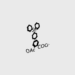 C1CC[CH]([Sn+]([CH]2CCCCC2)[CH]2CCCCC2)CC1.CC(=O)Oc1ccccc1C(=O)[O-]